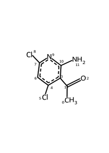 CC(=O)c1c(Cl)cc(Cl)nc1N